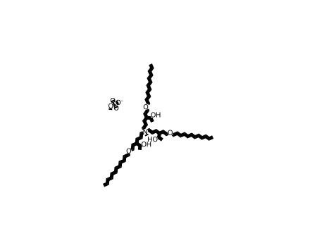 CCCCCCCCCCCCOCCC(CCC[N+](C)(CCCC(CCOCCCCCCCCCCCC)C(C)O)CCCC(CCOCCCCCCCCCCCC)C(C)O)C(C)O.COS(=O)(=O)[O-]